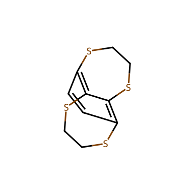 c1cc2c3c(c1SCCS3)SCCS2